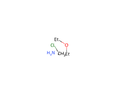 CCOCC.CCl.N